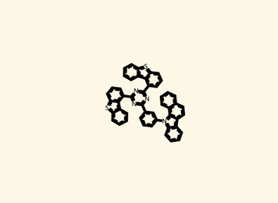 c1cc(-c2nc(-c3cccc4sc5ccccc5c34)nc(-c3cccc4sc5ccccc5c34)n2)cc(-n2c3ccccc3c3ccc4ccccc4c32)c1